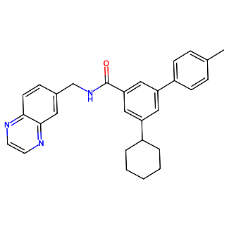 Cc1ccc(-c2cc(C(=O)NCc3ccc4nccnc4c3)cc(C3CCCCC3)c2)cc1